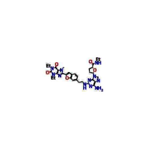 CCNC(=O)[C@@H]1CC[C@H](n2cnc3c(N)nc(NCCc4ccc5cc(-c6nc7c(c(=O)n(CC)c(=O)n7CC)n6C)oc5c4)nc32)O1